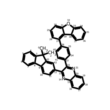 CC1(C)c2ccccc2-c2ccc(-c3nc4ccccc4nc3-c3ccc(-c4cccc5oc6ccccc6c45)cc3)cc21